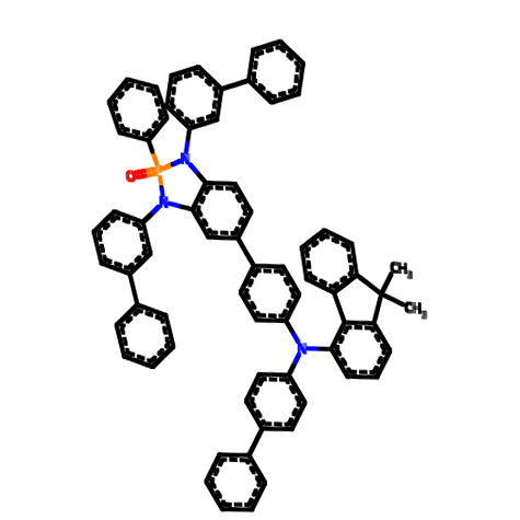 CC1(C)c2ccccc2-c2c(N(c3ccc(-c4ccccc4)cc3)c3ccc(-c4ccc5c(c4)N(c4cccc(-c6ccccc6)c4)P(=O)(c4ccccc4)N5c4cccc(-c5ccccc5)c4)cc3)cccc21